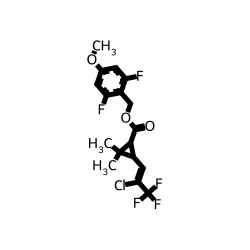 COc1cc(F)c(COC(=O)C2C(C=C(Cl)C(F)(F)F)C2(C)C)c(F)c1